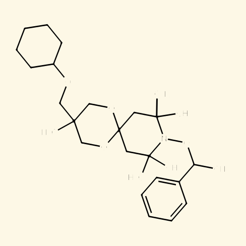 CC(ON1C(C)(C)CC2(CC1(C)C)OCC(C)(COC1CCCCC1)CO2)c1ccccc1